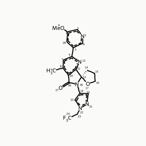 COc1cncc(-c2cc(C)c3c(n2)[C@]2(CCCO2)N(c2cnn(CC(F)(F)F)c2)C3=O)c1